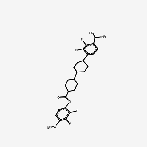 CCCC(O)c1ccc(C2CCC(C3CCC(C(=O)Oc4ccc(OCC)c(F)c4F)CC3)CC2)c(F)c1F